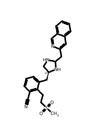 CS(=O)(=O)CCc1c(C#N)cccc1C[C@H]1CNC(Cc2cc3ccccc3cn2)N1